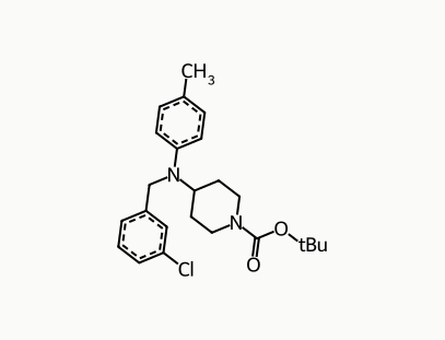 Cc1ccc(N(Cc2cccc(Cl)c2)C2CCN(C(=O)OC(C)(C)C)CC2)cc1